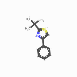 CC(C)(C)c1nc(-c2cc[c]cc2)cs1